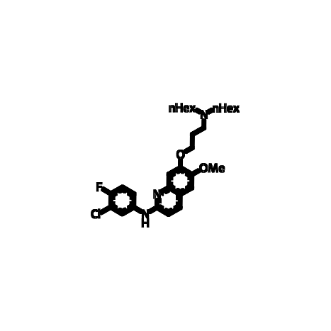 CCCCCCN(CCCCCC)CCCOc1cc2nc(Nc3ccc(F)c(Cl)c3)ccc2cc1OC